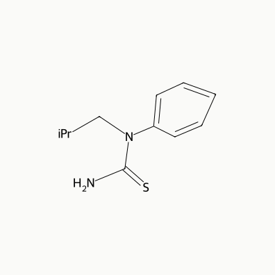 CC(C)CN(C(N)=S)c1ccccc1